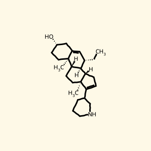 CC[C@H]1C=C2C[C@@H](O)CC[C@]2(C)[C@H]2CC[C@]3(C)C(C4CCCNC4)=CC[C@H]3[C@H]12